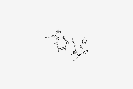 CC(=O)N[C@@H](Cc1cccc(C(=O)O)c1)B(O)O